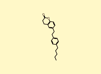 CCCCCc1ccc(CCc2ccc3c(c2)CCC(=O)O3)cc1